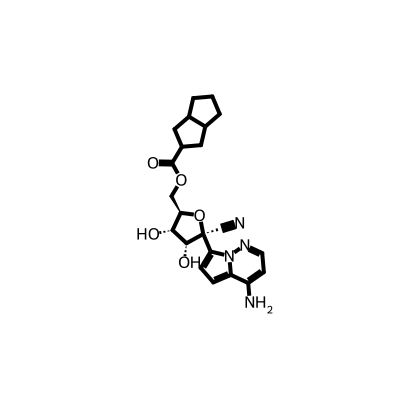 N#C[C@@]1(c2ccc3c(N)ccnn23)O[C@H](COC(=O)C2CC3CCCC3C2)[C@@H](O)[C@H]1O